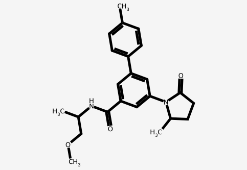 COCC(C)NC(=O)c1cc(-c2ccc(C)cc2)cc(N2C(=O)CCC2C)c1